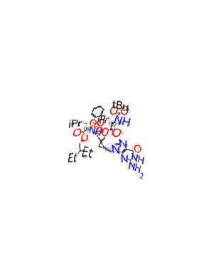 CCC(CC)COC(=O)[C@H](CC(C)C)NP(=O)(OCC1(COC(=O)[C@@H](NC(=O)OC(C)(C)C)C(C)C)C/C1=C/n1cnc2c(=O)[nH]c(N)nc21)Oc1ccccc1